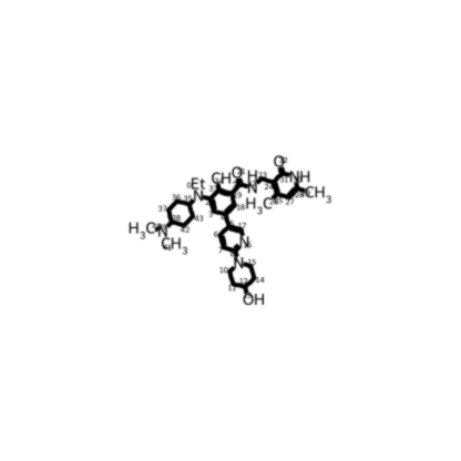 CCN(c1cc(-c2ccc(N3CCC(O)CC3)nc2)cc(C(=O)NCc2c(C)cc(C)[nH]c2=O)c1C)C1CCC(N(C)C)CC1